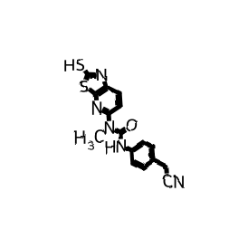 CN(C(=O)Nc1ccc(CC#N)cc1)c1ccc2nc(S)sc2n1